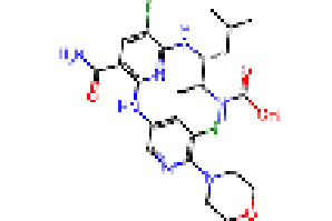 CC(C)C[C@@H](Nc1nc(Nc2cnc(N3CCOCC3)c(F)c2)c(C(N)=O)cc1F)[C@H](C)NC(=O)O